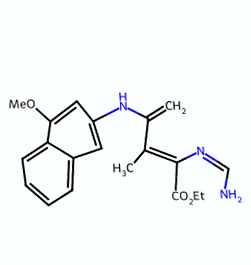 C=C(Nc1cc(OC)c2ccccc2c1)/C(C)=C(\N=C/N)C(=O)OCC